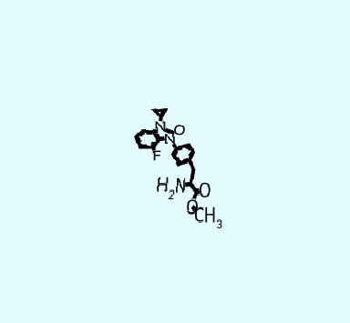 COC(=O)C(N)Cc1ccc(-n2c(=O)n(C3CC3)c3cccc(F)c32)cc1